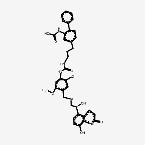 COc1cc(NC(=O)NCCCc2ccc(-c3ccccc3)c(NC(=O)O)c2)c(Cl)cc1CNC[C@@H](O)c1ccc(O)c2[nH]c(=O)ccc12